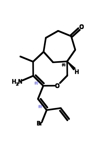 C=C/C(Br)=C\C1=C(/N)C(C)C2CCC(=O)C[C@H](CO1)C2